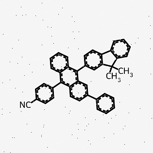 CC1(C)c2ccccc2-c2ccc(-c3c4ccccc4c(-c4ccc(C#N)cc4)c4ccc(-c5ccccc5)cc34)cc21